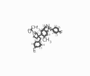 CC(=O)N1CCC(Cc2ccc(F)cc2)(c2cc3cnn(-c4ccc(F)cc4)c3cc2C)C1